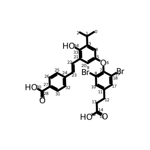 CC(C)c1cc(Oc2c(Br)cc(CCC(=O)O)cc2Br)cc(/C=C/c2ccc(C(=O)O)cc2)c1O